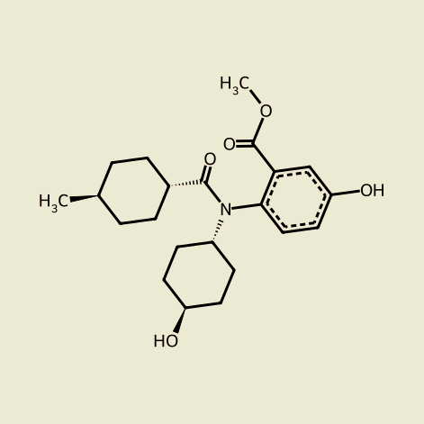 COC(=O)c1cc(O)ccc1N(C(=O)[C@H]1CC[C@H](C)CC1)[C@H]1CC[C@H](O)CC1